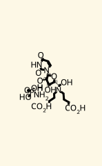 NP(=O)(O)O.O=C(O)CCCN(CCCC(=O)O)C(O)[C@H]1O[C@@H](n2ccc(=O)[nH]c2=O)[C@H](O)[C@@H]1O